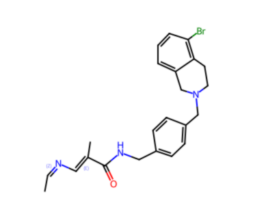 C/C=N\C=C(/C)C(=O)NCc1ccc(CN2CCc3c(Br)cccc3C2)cc1